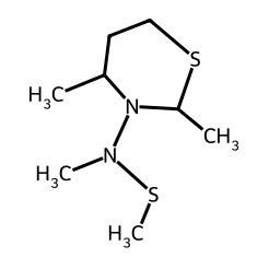 CSN(C)N1C(C)CCSC1C